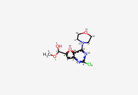 COC(O)c1cc2nc(Cl)nc(N3CCOCC3)c2o1